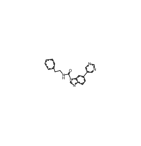 O=C(NCCc1ccccc1)n1cnc2ccc(-c3cncnc3)cc21